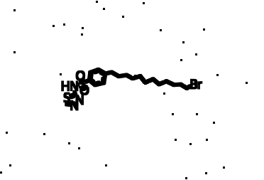 O=S(=O)(Nc1nncs1)c1ccc(CCCCCCCCCCCCBr)cc1